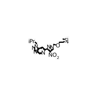 CC(C)Cn1nnc2cnc(-c3nn(COCC[Si](C)(C)C)cc3[N+](=O)[O-])cc21